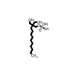 CCCCCCCCCCC(CO)(CO)COP(=O)(O)S